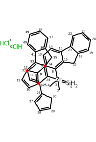 Cl.Cl.[CH3][Zr]([CH3])(=[SiH2])([c]1c(C2=CC=CC2)ccc2c1Cc1ccccc1-2)[c]1c(C2=CC=CC2)ccc2c1Cc1ccccc1-2